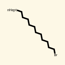 [CH2]CCCCCCCCCCCCCCCCCBr